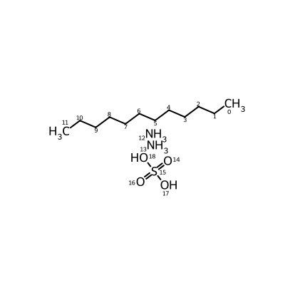 CCCCCCCCCCCC.N.N.O=S(=O)(O)O